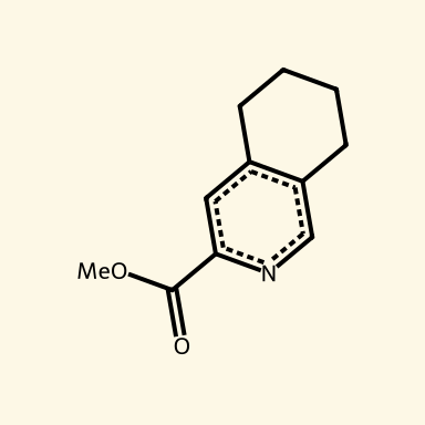 COC(=O)c1cc2c(cn1)CCCC2